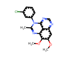 COc1cc2ncnc3c2c(c1OC)N=C(C)N3c1cccc(Cl)c1